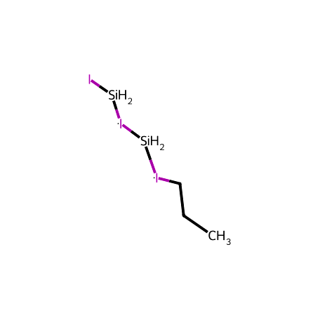 CCC[I][SiH2][I][SiH2]I